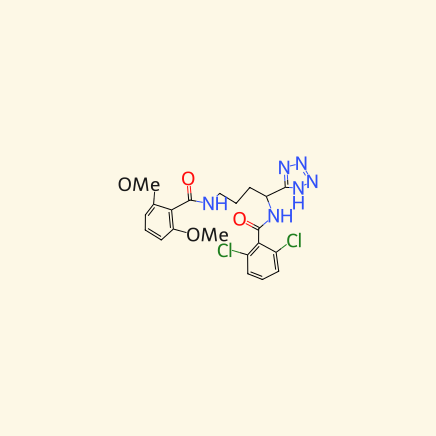 COc1cccc(OC)c1C(=O)NCCCC(NC(=O)c1c(Cl)cccc1Cl)c1nnn[nH]1